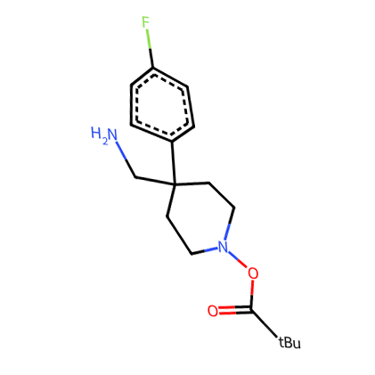 CC(C)(C)C(=O)ON1CCC(CN)(c2ccc(F)cc2)CC1